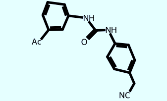 CC(=O)c1cccc(NC(=O)Nc2ccc(CC#N)cc2)c1